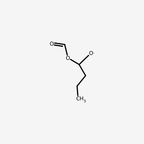 CCCC([O])OC=O